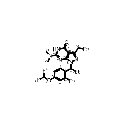 CCC(c1ccc(OC(F)F)cc1F)n1nc(CF)c2c(=O)[nH]c(N(C)C)nc21